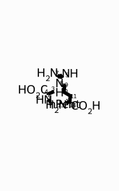 CCCCCNC(C)C(=O)O.N=C(N)NCCC[C@H](N)C(=O)O